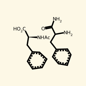 CC(=O)N[C@@H](Cc1ccccc1)C(=O)O.NC(=O)C(N)Cc1ccccc1